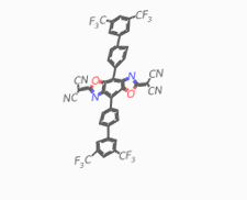 N#CC(C#N)=c1nc2c(-c3ccc(-c4cc(C(F)(F)F)cc(C(F)(F)F)c4)cc3)c3oc(=C(C#N)C#N)nc3c(-c3ccc(-c4cc(C(F)(F)F)cc(C(F)(F)F)c4)cc3)c2o1